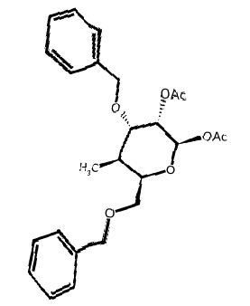 CC(=O)O[C@H]1O[C@@H](COCc2ccccc2)[C@@H](C)[C@H](OCc2ccccc2)[C@@H]1OC(C)=O